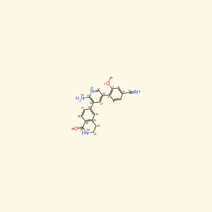 COc1cc(C#N)ccc1-c1cnc(N)c(-c2ccc3c(c2)CCNC3=O)c1